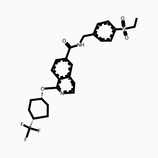 CCS(=O)(=O)c1ccc(CNC(=O)c2ccc3c(O[C@H]4CC[C@@H](C(F)(F)F)CC4)nccc3c2)cc1